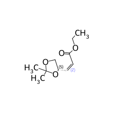 CCOC(=O)/C=C\[C@H]1COC(C)(C)O1